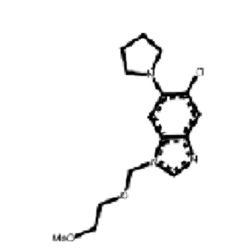 COCCOCn1cnc2cc(Cl)c(N3CCCC3)cc21